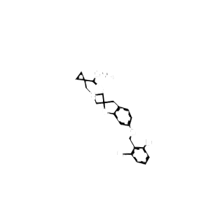 CCc1cccc(Cl)c1COc1ccc2c(c1)OC1(C2)CN(CC2(C(=O)OC)CC2)C1